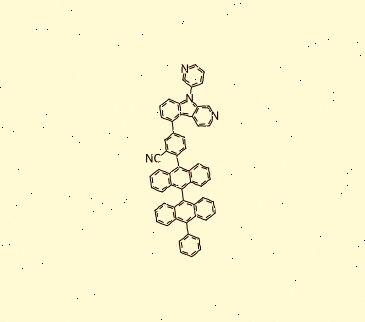 N#Cc1cc(-c2cccc3c2c2ccncc2n3-c2cccnc2)ccc1-c1c2ccccc2c(-c2c3ccccc3c(-c3ccccc3)c3ccccc23)c2ccccc12